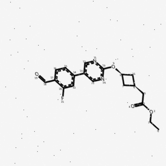 CCOC(=O)C[C@H]1C[C@@H](Oc2ncc(-c3ccc(C=O)c(F)c3)cn2)C1